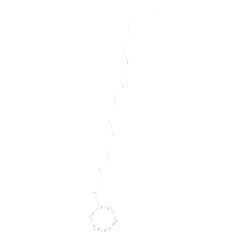 O=C(O)COCCOCCOCCOCCOCc1ccccc1